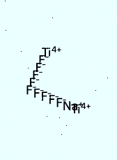 [F-].[F-].[F-].[F-].[F-].[F-].[F-].[F-].[F-].[Na+].[Ti+4].[Ti+4]